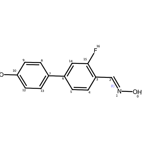 O/N=C/c1ccc(-c2ccc(O)cc2)cc1F